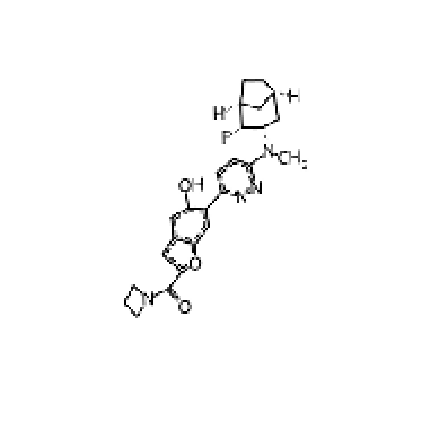 CN(c1ccc(-c2cc3oc(C(=O)N4CCC4)cc3cc2O)nn1)[C@H]1C[C@@H]2CC[C@@H](C2)[C@H]1F